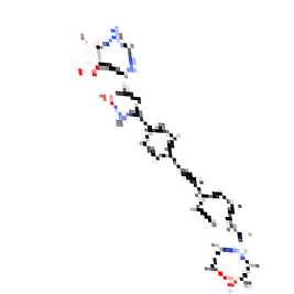 O=c1[nH]cnc(-c2cc(-c3ccc(C#Cc4ccc(CN5CCOCC5)cc4)cc3)no2)c1O